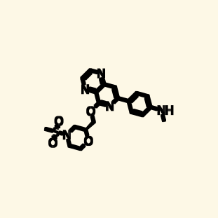 CNc1ccc(-c2cc3nccnc3c(OC[C@@H]3CN(S(C)(=O)=O)CCO3)n2)cc1